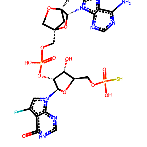 Nc1ncnc2c1ncn2[C@@H]1O[C@@]2(COP(=O)(O)O[C@@H]3[C@H](O)[C@@H](COP(=O)(O)S)O[C@H]3n3cc(F)c4c(=O)[nH]cnc43)CO[C@@H]1C2